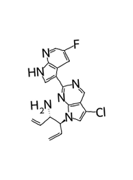 C=C[C@H](N)[C@H](C=C)n1cc(Cl)c2cnc(-c3c[nH]c4ncc(F)cc34)nc21